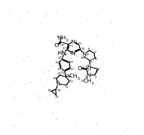 CN1CCN(C2CCCN(c3cnc(C(N)=O)c(Nc4ccc(C5(C)CCN(C6CC6)CC5)cc4)n3)C2)C1=O